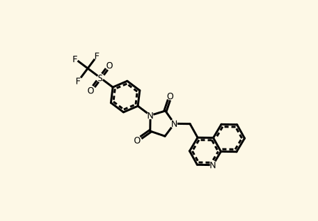 O=C1CN(Cc2ccnc3ccccc23)C(=O)N1c1ccc(S(=O)(=O)C(F)(F)F)cc1